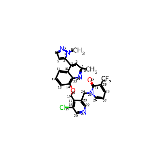 Cc1cc(-c2ccnn2C)c2cccc(OCc3c(Cl)cncc3Cn3cccc(C(F)(F)F)c3=O)c2n1